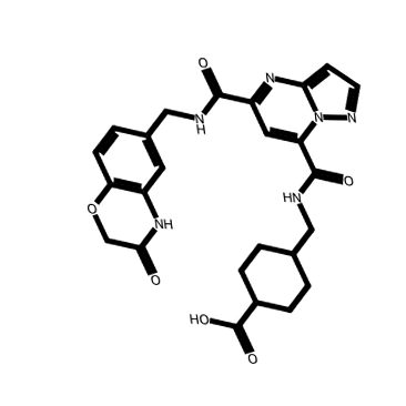 O=C1COc2ccc(CNC(=O)c3cc(C(=O)NCC4CCC(C(=O)O)CC4)n4nccc4n3)cc2N1